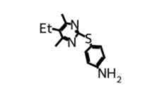 CCc1c(C)nc(Sc2ccc(N)cc2)nc1C